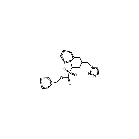 O=C(OCc1ccccc1)S(=O)(=O)C1CC(Cn2ccnn2)Cc2ccccc21